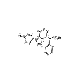 CCOC(=O)C(c1ccccc1)c1ccnc2c(-c3ccc(Cl)cc3)cnn12